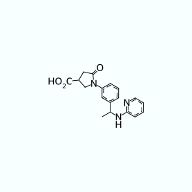 CC(Nc1ccccn1)c1cccc(N2CC(C(=O)O)CC2=O)c1